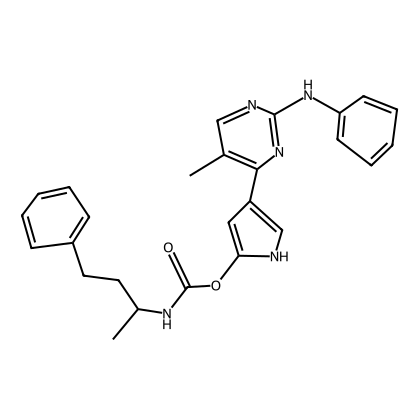 Cc1cnc(Nc2ccccc2)nc1-c1c[nH]c(OC(=O)NC(C)CCc2ccccc2)c1